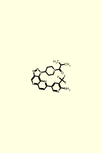 CC(C)C(=O)N1CCC(n2nnc3cnc4ccc(-c5cnc(N)c(C(F)(F)F)c5)nc4c32)CC1